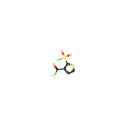 O=C(Cl)c1ccsc1S(=O)(=O)Cl